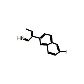 C/C=C(\C=N)c1ccc2cc(I)ccc2c1